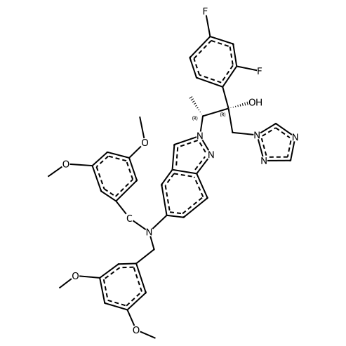 COc1cc(CN(Cc2cc(OC)cc(OC)c2)c2ccc3nn([C@H](C)[C@](O)(Cn4cncn4)c4ccc(F)cc4F)cc3c2)cc(OC)c1